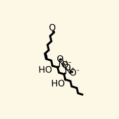 CCCCCC(O)C(CC(C(O)C/C=C\CCCCC=O)[N+](=O)[O-])[N+](=O)[O-]